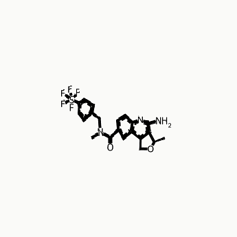 C[C@H]1OCc2c1c(N)nc1ccc(C(=O)N(C)Cc3ccc(S(F)(F)(F)(F)F)cc3)cc21